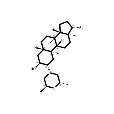 CC(=O)[C@H]1CC[C@H]2[C@@H]3CC[C@H]4C[C@H](O)[C@@H](N5C[C@H](C)O[C@@H](C)C5)C[C@]4(C)[C@H]3CC[C@]12C